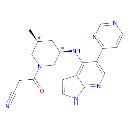 C[C@H]1C[C@@H](Nc2c(-c3ccncn3)cnc3[nH]ccc23)CN(C(=O)CC#N)C1